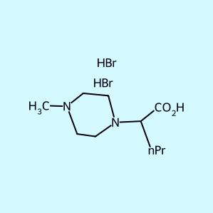 Br.Br.CCCC(C(=O)O)N1CCN(C)CC1